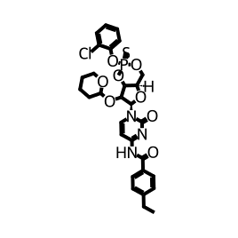 CCc1ccc(C(=O)Nc2ccn([C@@H]3O[C@@H]4COP(=S)(Oc5ccccc5Cl)OC4C3OC3CCCCO3)c(=O)n2)cc1